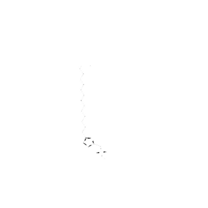 CCCCCCCCCCCCCCc1ccc(CS(=O)(=O)O)o1